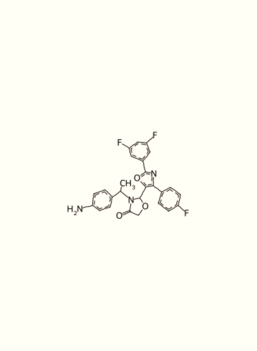 CC(c1ccc(N)cc1)N1C(=O)COC1c1oc(-c2cc(F)cc(F)c2)nc1-c1ccc(F)cc1